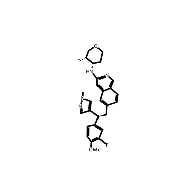 COc1ccc([C@H](Cc2ccc3cnc(N[C@H]4CCOC[C@H]4F)cc3c2)c2cnn(C)c2)cc1F